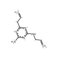 C=CCNc1nc(N)nc(CC=C)n1